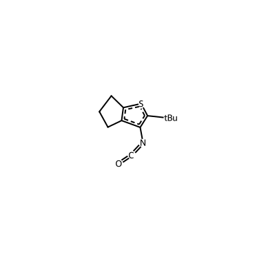 CC(C)(C)c1sc2c(c1N=C=O)CCC2